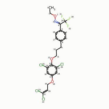 CCON=C(c1ccc(CCCOc2c(Cl)cc(OCC=C(Cl)Cl)cc2Cl)cc1)C(F)(F)F